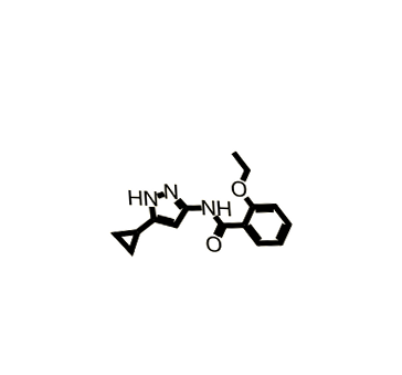 CCOc1ccccc1C(=O)Nc1cc(C2CC2)[nH]n1